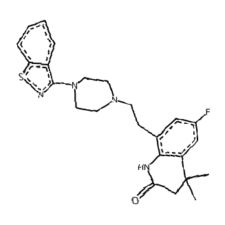 CC1(C)CC(=O)Nc2c(CCN3CCN(c4nsc5ccccc45)CC3)cc(F)cc21